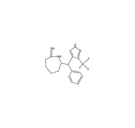 N=C1CCCCC(C(c2ccccc2)c2c[nH]nc2C(F)(F)F)N1